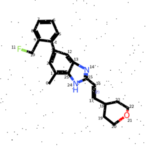 Cc1cc(-c2ccccc2CF)cc2nc(/C=C/C3CCOCC3)[nH]c12